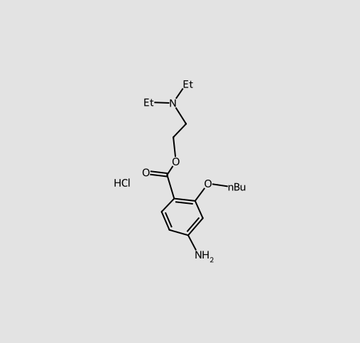 CCCCOc1cc(N)ccc1C(=O)OCCN(CC)CC.Cl